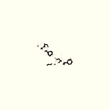 C=CCOC(=O)N1C[C@H](NC(=O)c2cccc(Cl)c2)C[C@H]1COc1ccc(C(=O)N2CC[C@H](O)[C@H]2C(=O)OC)cc1